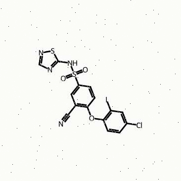 N#Cc1cc(S(=O)(=O)Nc2ncns2)ccc1Oc1ccc(Cl)cc1I